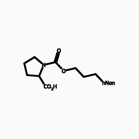 CCCCCCCCCCCCOC(=O)N1CCCC1C(=O)O